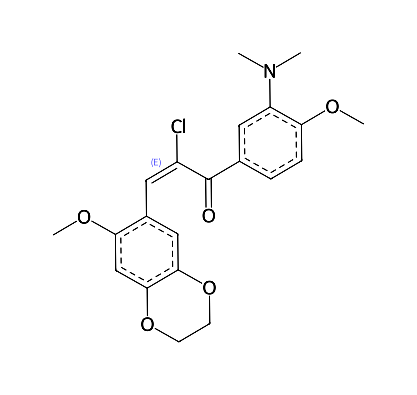 COc1cc2c(cc1/C=C(/Cl)C(=O)c1ccc(OC)c(N(C)C)c1)OCCO2